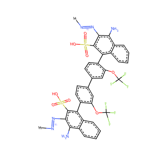 [H]/N=N/c1c(S(=O)(=O)O)c(-c2ccc(-c3ccc(-c4c(S(=O)(=O)O)c(/N=N/[H])c(N)c5ccccc45)c(OC(F)(F)F)c3)cc2OC(F)(F)F)c2ccccc2c1N